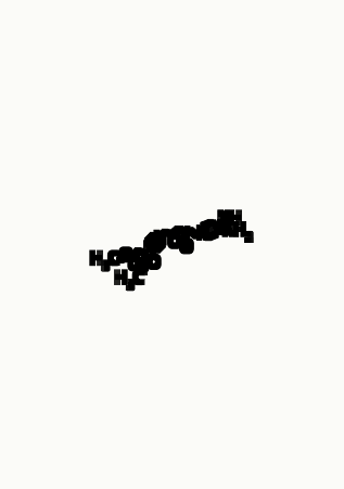 CCOC(=O)CC(C(=O)OCC)N1CCN(CC2CN(CCN3CCN(C(=N)N)CC3)C(=O)O2)CC1